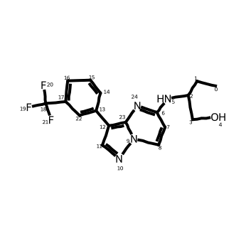 CCC(CO)Nc1ccn2ncc(-c3cccc(C(F)(F)F)c3)c2n1